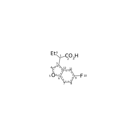 CCC(C(=O)O)c1coc2ccc(F)cc12